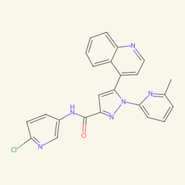 Cc1cccc(-n2nc(C(=O)Nc3ccc(Cl)nc3)cc2-c2ccnc3ccccc23)n1